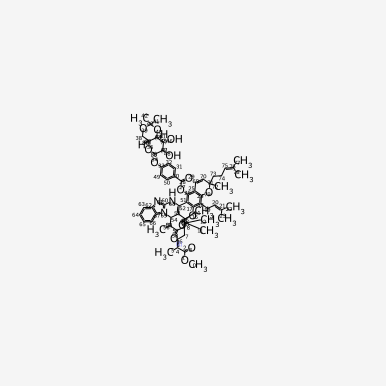 COC(=O)/C(C)=C\CC12OC(C)(C)[C@@H](C)C13Oc1c(CC=C(C)C)c4c(c(OC(=O)c5ccc(O[C@@H]6O[C@@H]7COC(C)(C)O[C@H]7[C@H](O)[C@H]6O)cc5)c1C1=C3C([C@H](C)C2=O)n2c(nc3ccccc32)N1)C=CC(C)(CCC=C(C)C)O4